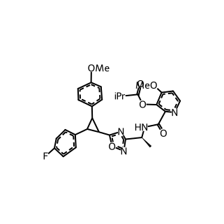 COc1ccc(C2C(c3ccc(F)cc3)C2c2nc([C@H](C)NC(=O)c3nccc(OC)c3OC(=O)C(C)C)no2)cc1